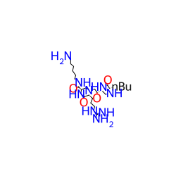 CCCC[C@@H]1NC[C@H](C(=O)CN2C[C@H](C(=O)NCCCCCCN)NC(=O)[C@@H]2CCCNC(=N)N)NC1=O